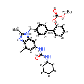 CCCCc1nc2c(C)cc(NC(=O)NC3CCCCC3)cc2n1Cc1ccc(-c2ccccc2OC(=O)OC(C)(C)C)cc1